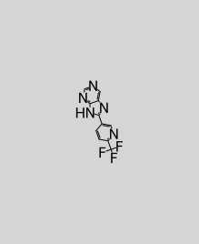 FC(F)(F)c1ccc(-c2nc3cncnc3[nH]2)cn1